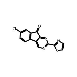 O=C1c2cc(Cl)ccc2-c2cnc(-c3nccs3)nc21